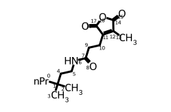 CCCC(C)(C)CCNC(=O)CCC1=C(C)C(=O)OC1=O